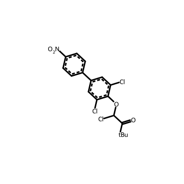 CC(C)(C)C(=O)C(Cl)Oc1c(Cl)cc(-c2ccc([N+](=O)[O-])cc2)cc1Cl